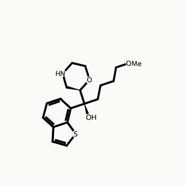 COCCCC[C@](O)(c1cccc2ccsc12)[C@H]1CNCCO1